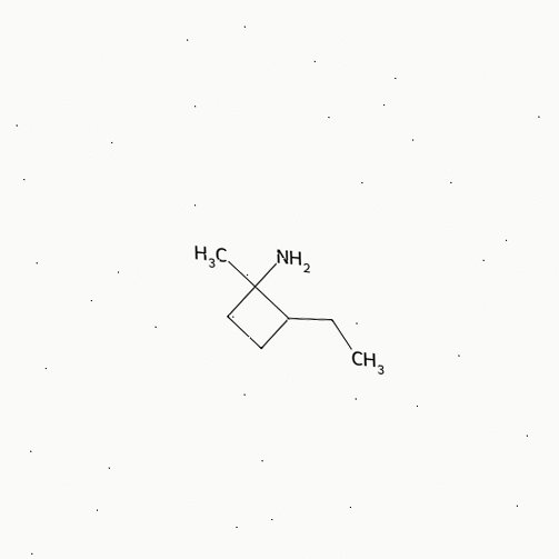 CCC1CCC1(C)N